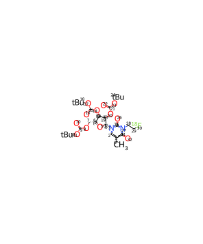 Cc1cn([C@@H]2O[C@H](COC(=O)OC(C)(C)C)[C@@H](OC(=O)OC(C)(C)C)[C@H]2OC(=O)OC(C)(C)C)c(=O)n(CC[18F])c1=O